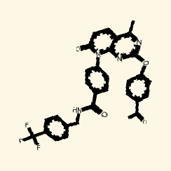 CC(=O)c1ccc(Oc2nc(C)c3ccc(=O)n(-c4ccc(C(=O)NCc5ccc(C(F)(F)F)cc5)cc4)c3n2)cc1